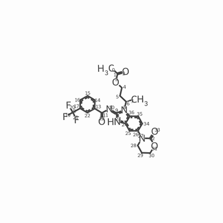 CC(=O)OCC[C@@H](C)n1/c(=N/C(=O)c2cccc(C(F)(F)F)c2)[nH]c2cc(N3CCCOC3=O)ccc21